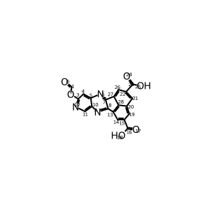 O=COc1cc2nc3c(nc2cn1)-c1cc(C(=O)O)cc2cc(C(=O)O)cc-3c12